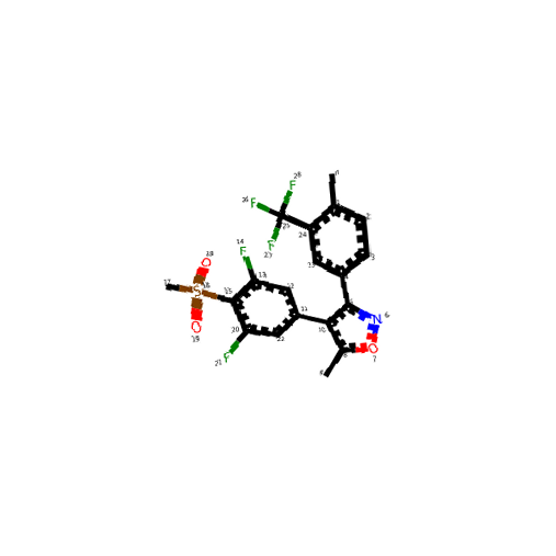 Cc1ccc(-c2noc(C)c2-c2cc(F)c(S(C)(=O)=O)c(F)c2)cc1C(F)(F)F